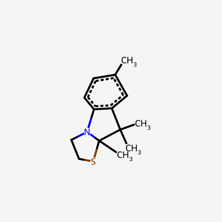 Cc1ccc2c(c1)C(C)(C)C1(C)SCCN21